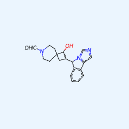 O=CN1CCC2(CC1)CC(C1c3ccccc3-c3cncn31)C2O